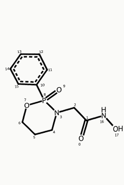 O=C(CN1CCCOP1(=O)c1ccccc1)NO